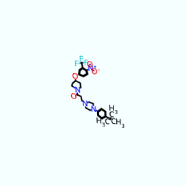 CC(C)(C)c1ccc(N2CCN(CCC(=O)N3CCC(Oc4ccc([N+](=O)[O-])c(C(F)(F)F)c4)CC3)CC2)cc1